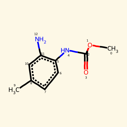 COC(=O)Nc1ccc(C)cc1N